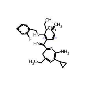 C=C/C=C\C(C(=N)C1=NC(N)=C(C2CC2)C=C(CC)C1)=C(\NCc1ccccc1F)C(C)CC